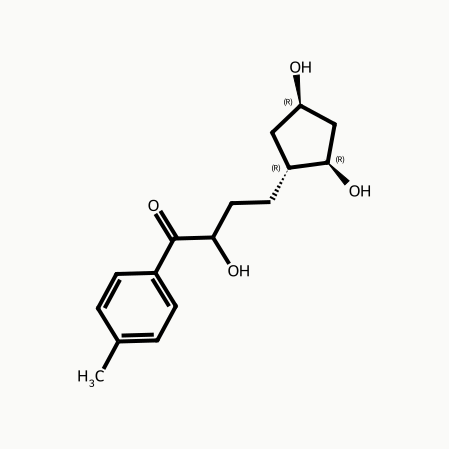 Cc1ccc(C(=O)C(O)CC[C@@H]2C[C@@H](O)C[C@H]2O)cc1